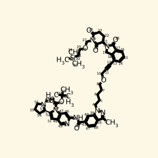 Cc1nn(CCCCCOCC#Cc2cccc3c2CN(C2CCC(=O)N(COCC[Si](C)(C)C)C2=O)C3=O)c2cc(C(=O)Nc3cc4c(cn3)cc([C@H]3CCCN3C)n4C(=O)OC(C)(C)C)ccc12